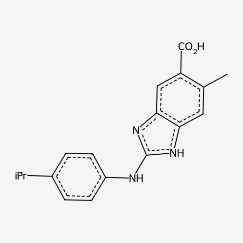 Cc1cc2[nH]c(Nc3ccc(C(C)C)cc3)nc2cc1C(=O)O